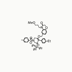 CCc1ccc([C@@H]2[C@@H](OCc3ccc4c(c3)N(CCCOC)C(=O)CO4)CN(S(=O)(=O)c3ccc(C)cc3)C[C@H]2O[Si](C(C)C)(C(C)C)C(C)C)cc1